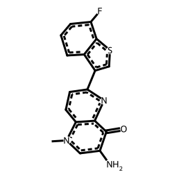 Cn1cc(N)c(=O)c2nc(-c3csc4c(F)cccc34)ccc21